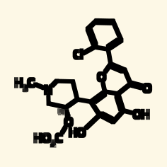 CN1CCC(c2c(O)cc(O)c3c(=O)cc(-c4ccccc4Cl)oc23)[C@@H](OC(=O)O)C1